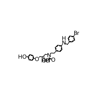 O=C(O)N(CCc1ccc(NCc2ccc(Br)cc2)cc1)C[C@H](O)COc1ccc(O)cc1